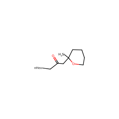 CCCCCCCC(=O)CC1([SiH3])CCCCO1